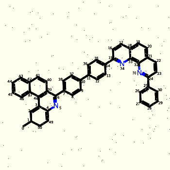 CC1C=c2c(nc(-c3ccc(-c4ccc(-c5ccc6ccc7ccc(-c8ccccc8)nc7c6n5)cc4)cc3)c3ccc4ccccc4c23)=CC1